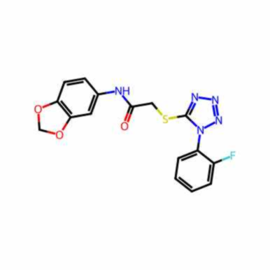 O=C(CSc1nnnn1-c1ccccc1F)Nc1ccc2c(c1)OCO2